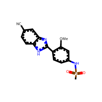 COc1cc(NS(C)(=O)=O)ccc1-c1nc2cc(C#N)ccc2[nH]1